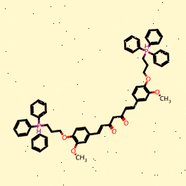 COc1cc(/C=C/C(=O)CC(=O)/C=C/c2ccc(OCCC[PH](c3ccccc3)(c3ccccc3)c3ccccc3)c(OC)c2)ccc1OCCC[PH](c1ccccc1)(c1ccccc1)c1ccccc1